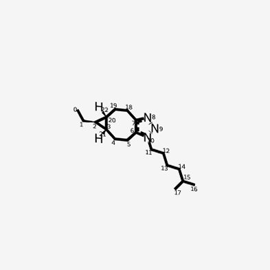 CC[C@@H]1[C@H]2CCc3c(nnn3CCCCC(C)C)CC[C@@H]12